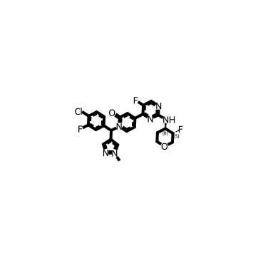 Cn1cc(C(c2ccc(Cl)c(F)c2)n2ccc(-c3nc(N[C@@H]4CCOC[C@H]4F)ncc3F)cc2=O)cn1